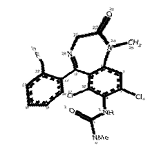 CNC(=O)Nc1c(Cl)cc2c(c1Cl)C(c1ccccc1F)=NCC(=O)N2C